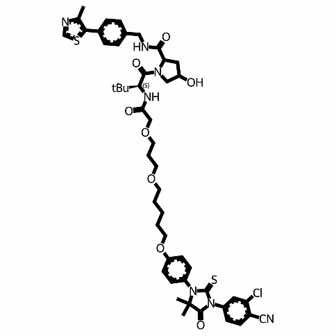 Cc1ncsc1-c1ccc(CNC(=O)C2CC(O)CN2C(=O)[C@@H](NC(=O)COCCCOCCCCCOc2ccc(N3C(=S)N(c4ccc(C#N)c(Cl)c4)C(=O)C3(C)C)cc2)C(C)(C)C)cc1